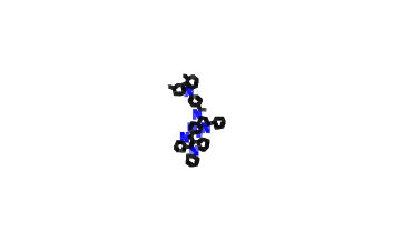 CC1C=Cc2c(c3c(n2-c2ccc(C(C)/N=C(\C=C(/N)c4ccccc4)c4ccc(-c5nc6ccccc6c6c5c5ccccc5n6-c5ccccc5)cc4)cc2)C=CCC3C)C1